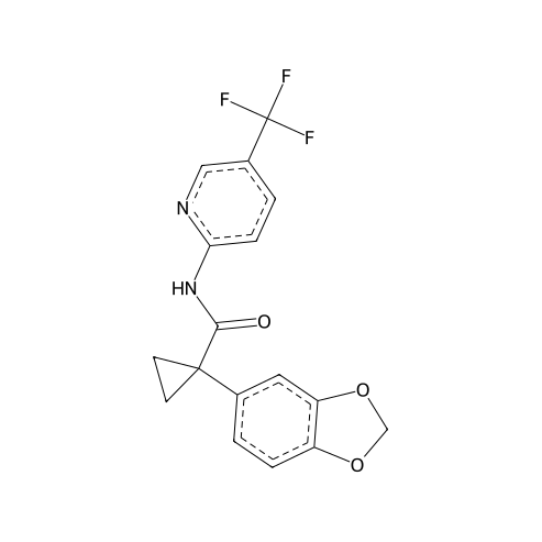 O=C(Nc1ccc(C(F)(F)F)cn1)C1(c2ccc3c(c2)OCO3)CC1